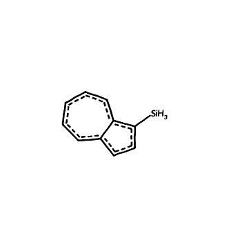 [SiH3]c1ccc2cccccc1-2